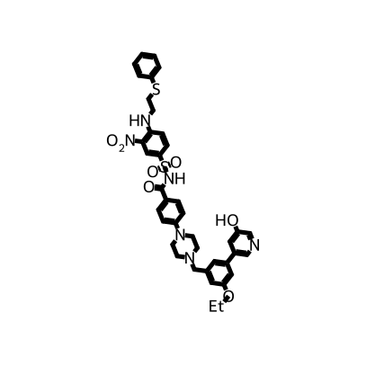 CCOc1cc(CN2CCN(c3ccc(C(=O)NS(=O)(=O)c4ccc(NCCSc5ccccc5)c([N+](=O)[O-])c4)cc3)CC2)cc(-c2cncc(O)c2)c1